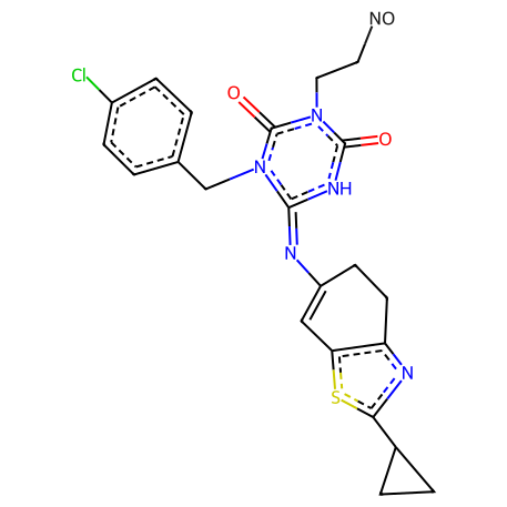 O=NCCn1c(=O)[nH]/c(=N\C2=Cc3sc(C4CC4)nc3CC2)n(Cc2ccc(Cl)cc2)c1=O